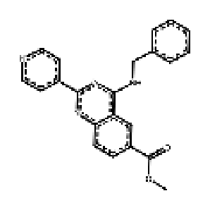 COC(=O)c1ccc2nc(-c3ccncc3)nc(NCc3ccccc3)c2c1